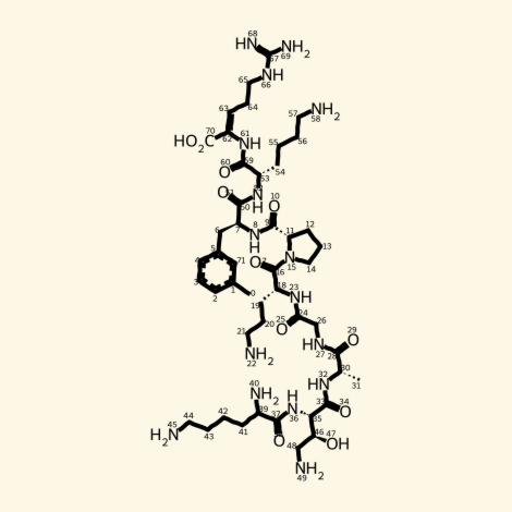 Cc1cccc(C[C@H](NC(=O)[C@@H]2CCCN2C(=O)[C@@H](CCCN)NC(=O)CNC(=O)[C@H](C)NC(=O)[C@@H](NC(=O)C(N)CCCCN)[C@@H](O)CN)C(=O)N[C@@H](CCCCN)C(=O)N/C(=C\CCNC(=N)N)C(=O)O)c1